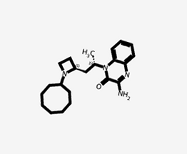 C[C@@H](C[C@@H]1CCN1C1CCCCCCC1)n1c(=O)c(N)nc2ccccc21